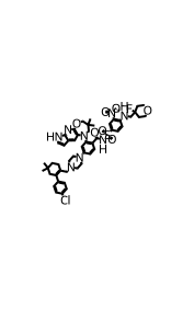 CC1(C)CCC(CN2CCN(c3ccc(C(=O)NS(=O)(=O)c4ccc(NCC5(F)CCOCC5)c([N+](=O)[O-])c4)c(N4CC(C)(C)COc5nc6[nH]ccc6cc54)c3)CC2)=C(c2ccc(Cl)cc2)C1